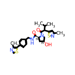 Cc1cc(C(C(=O)N2C[C@H](O)C[C@H]2C(=O)NCc2ccc(-c3scnc3C)cc2)C(C)C)sn1